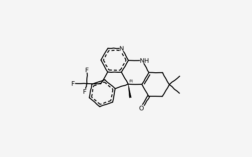 CC1(C)CC(=O)C2=C(C1)Nc1nccc(CC(F)(F)F)c1[C@@]2(C)c1ccccc1